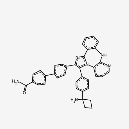 NC(=O)c1ccc(-c2ccc(-c3nc4n(c3-c3ccc(C5(N)CCC5)cc3)-c3cccnc3Nc3ccccc3-4)cc2)cc1